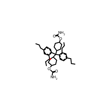 CCCc1ccc(C(c2ccc(CCC)cc2CCC)(C2CCC(OC(N)=O)CC2)C2CCC(OC(N)=O)CC2)c(CCC)c1